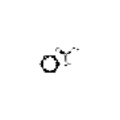 O=S(O)O.c1ccccc1